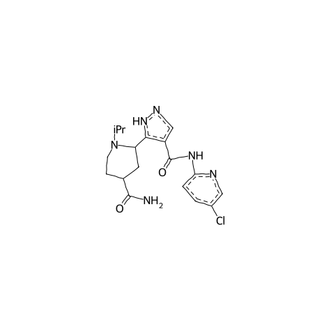 CC(C)N1CCC(C(N)=O)CC1c1[nH]ncc1C(=O)Nc1ccc(Cl)cn1